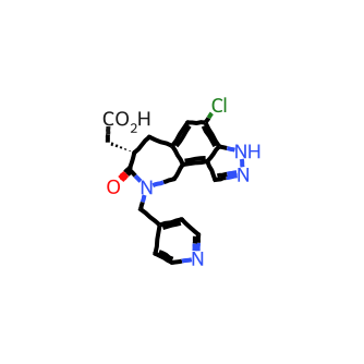 O=C(O)C[C@@H]1Cc2cc(Cl)c3[nH]ncc3c2CN(Cc2ccncc2)C1=O